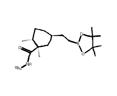 C[C@@H]1CC[C@@H](CCB2OC(C)(C)C(C)(C)O2)C[C@@]1(C)C(=O)NC(C)(C)C